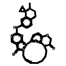 CN1CCc2ccc(Nc3ncc4c(=O)n5n(c4n3)-c3ccc4c(n3)N(CCCC/C=C\C5)C(=O)CO4)cc2C12CC2